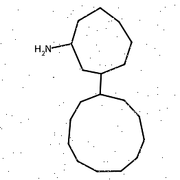 NC1CCCCCC(C2CCCCCCCCCC2)C1